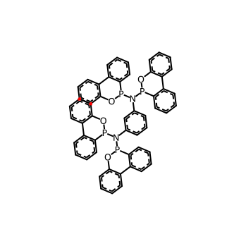 c1cc(N(P2Oc3ccccc3-c3ccccc32)P2Oc3ccccc3-c3ccccc32)cc(N(P2Oc3ccccc3-c3ccccc32)P2Oc3ccccc3-c3ccccc32)c1